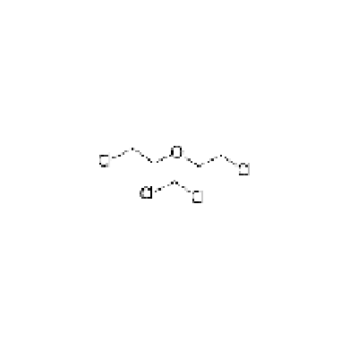 ClCCOCCCl.ClCCl